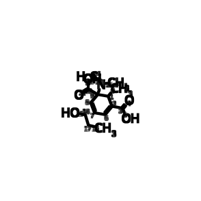 CC1C(C(=O)O)=CC=CC1(C(=O)O)N(C)C.CCCO